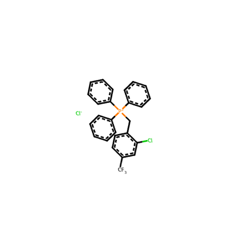 FC(F)(F)c1ccc(C[P+](c2ccccc2)(c2ccccc2)c2ccccc2)c(Cl)c1.[Cl-]